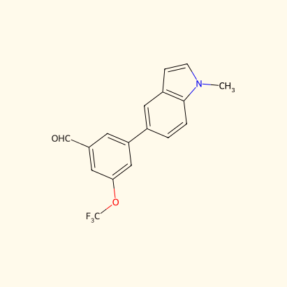 Cn1ccc2cc(-c3cc(C=O)cc(OC(F)(F)F)c3)ccc21